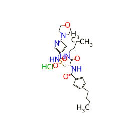 CCCCc1ccc(C(=O)N[C@H](CS(=O)(=O)Nc2ccc(N3CCOCC3)nc2)C(=O)NCCC(C)C)cc1.Cl